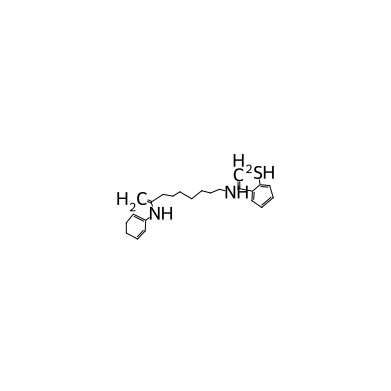 C=C(CCCCCCCNC(=C)c1ccccc1S)NC1=CCCC=C1